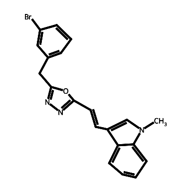 Cn1cc(/C=C/c2nnc(Cc3cccc(Br)c3)o2)c2ccccc21